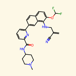 C=C(C#N)CNc1c(OC(F)F)ccc2ccc(-c3cccc(C(=O)NC4CCN(C)CC4)n3)cc12